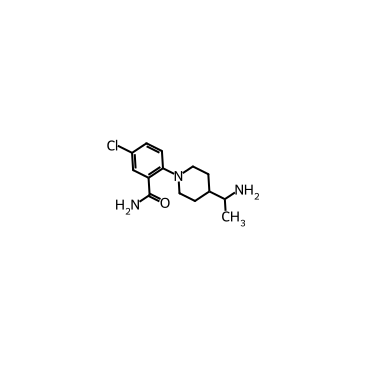 CC(N)C1CCN(c2ccc(Cl)cc2C(N)=O)CC1